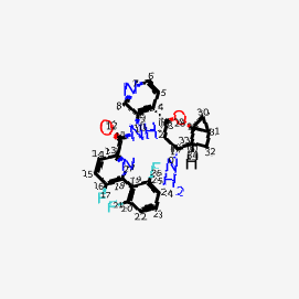 N[C@@H]1C[C@H](c2ccncc2NC(=O)c2ccc(F)c(-c3c(F)cccc3F)n2)OC23CC2C[C@H]13